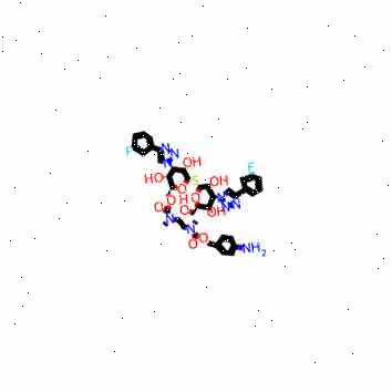 CN(CCN(C)C(=O)OC[C@H]1O[C@@H](S[C@@H]2O[C@H](CO)[C@H](O)[C@H](n3cc(-c4cccc(F)c4)nn3)[C@H]2O)[C@H](O)[C@@H](n2cc(-c3cccc(F)c3)nn2)[C@H]1O)C(=O)OCc1ccc(N)cc1